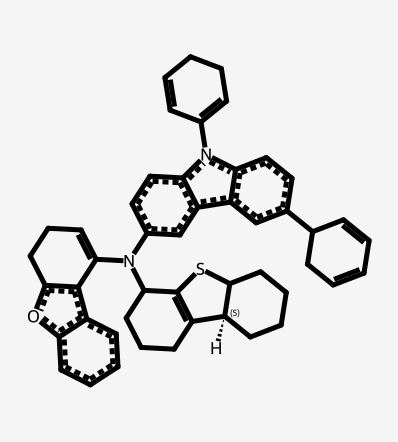 C1=CCC(c2ccc3c(c2)c2cc(N(C4=CCCc5oc6ccccc6c54)C4CCCC5=C4SC4CCCC[C@@H]54)ccc2n3C2=CCCC=C2)C=C1